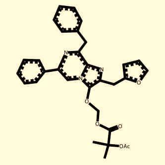 CC(=O)OC(C)(C)C(=O)OCOc1c(Cc2ccco2)nc2c(Cc3ccccc3)nc(-c3ccccc3)cn12